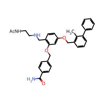 CC(=O)NCCNCc1ccc(OCc2cccc(-c3ccccc3)c2C)cc1OCc1ccc(C(N)=O)cc1